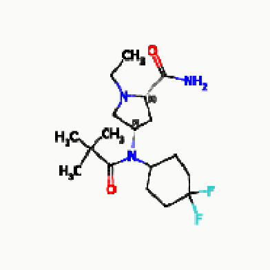 CCN1C[C@@H](N(C(=O)C(C)(C)C)C2CCC(F)(F)CC2)C[C@H]1C(N)=O